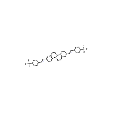 FC(F)(F)c1ccc(/C=C/c2ccc3c(ccc4c5ccc(/C=C/c6ccc(C(F)(F)F)cc6)cc5ccc34)c2)cc1